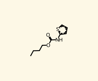 CCCCOC(=O)Nc1cccs1